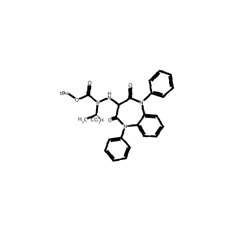 C[C@@H](C(=O)O)N(NC1C(=O)N(c2ccccc2)c2ccccc2N(c2ccccc2)C1=O)C(=O)OC(C)(C)C